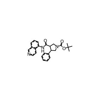 CC(C)(C)OC(=O)N1CC(C(=O)Nc2cccc3cnccc23)C(c2ccccc2)C1